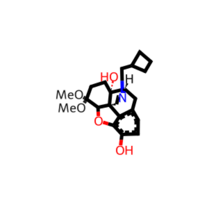 COC1(OC)CC[C@@]2(O)[C@H]3Cc4ccc(O)c5c4[C@@]2(CCN3CC2CCC2)C1O5